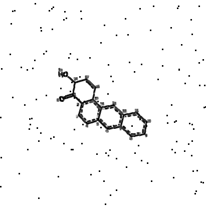 O=C1c2ccc3cc4ccccc4cc3c2C=CC1O